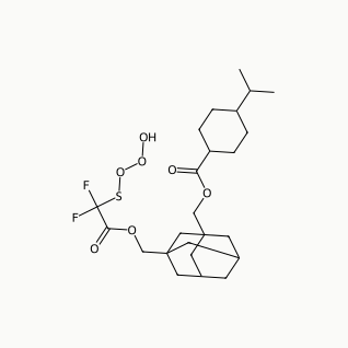 CC(C)C1CCC(C(=O)OCC23CC4CC(C2)CC(COC(=O)C(F)(F)SOOO)(C4)C3)CC1